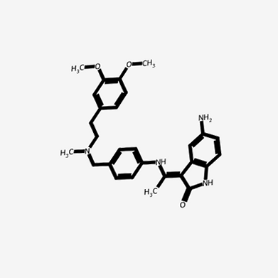 COc1ccc(CCN(C)Cc2ccc(NC(C)=C3C(=O)Nc4ccc(N)cc43)cc2)cc1OC